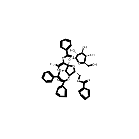 CC(C)=C(OC(=O)c1ccccc1)[C@@]1(O[C@H]2O[C@H](CO)[C@@H](O)[C@H](O)[C@H]2O)O[C@H](COC(=O)c2ccccc2)[C@@H](OC(=O)c2ccccc2)[C@@H]1OC(=O)c1ccccc1